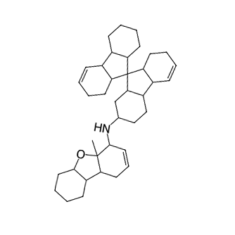 CC12OC3CCCCC3C1CC=CC2NC1CCC2C3C=CCCC3C3(C4CCC=CC4C4CCCCC43)C2C1